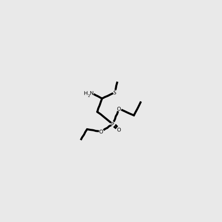 CCOP(=O)(CC(N)SC)OCC